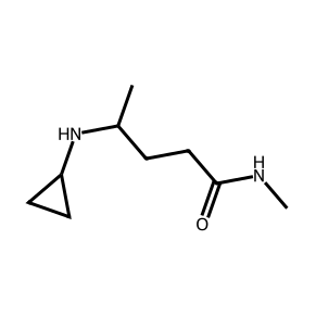 CNC(=O)CCC(C)NC1CC1